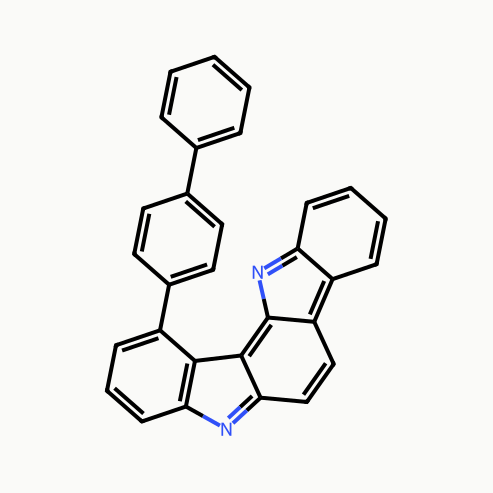 c1ccc(-c2ccc(-c3cccc4c3-c3c5c(ccc3=N4)=c3ccccc3=N5)cc2)cc1